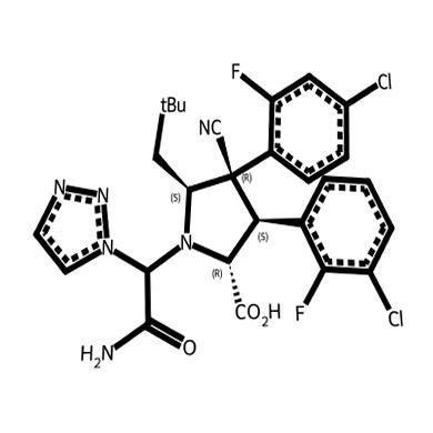 CC(C)(C)C[C@@H]1N(C(C(N)=O)n2ccnn2)[C@@H](C(=O)O)[C@H](c2cccc(Cl)c2F)[C@@]1(C#N)c1ccc(Cl)cc1F